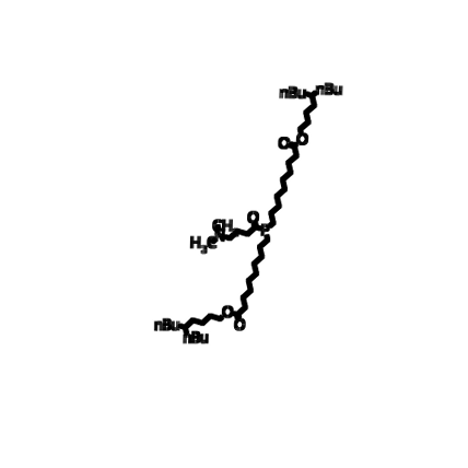 CCCCC(CCCC)CCCCOC(=O)CCCCCCCCCP(CCCCCCCCCC(=O)OCCCCC(CCCC)CCCC)C(=O)CCCN(C)C